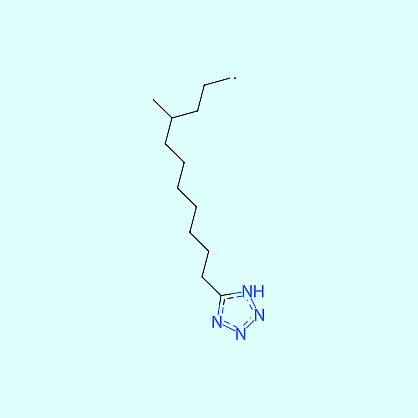 [CH2]CCC(C)CCCCCCCc1nnn[nH]1